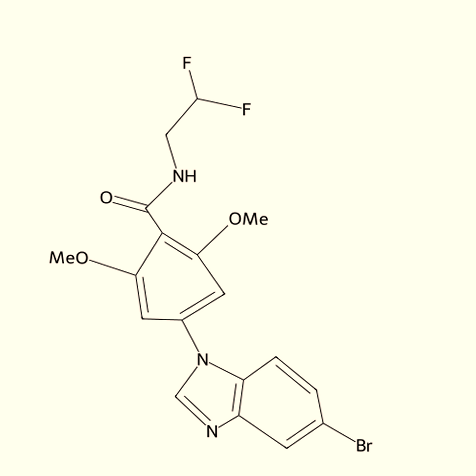 COc1cc(-n2cnc3cc(Br)ccc32)cc(OC)c1C(=O)NCC(F)F